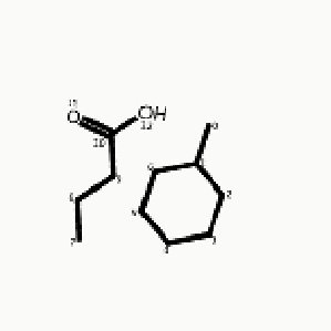 CC1CCCCC1.CCCC(=O)O